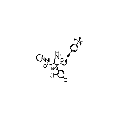 NCc1c(C(=O)NN2CCCCC2)nn(-c2ccc(Cl)cc2Cl)c1-c1ccc(C#Cc2ccc(C(F)(F)F)cc2)s1